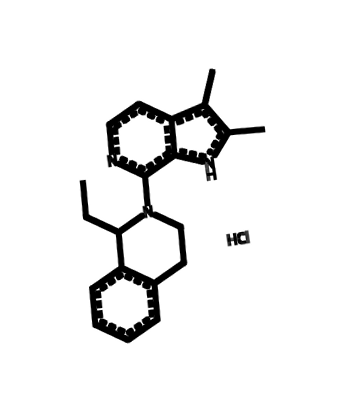 CCC1c2ccccc2CCN1c1nccc2c(C)c(C)[nH]c12.Cl